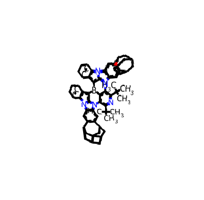 CC(C)(C)c1nc(C(C)(C)C)c2c3c1-n1c4cc5c(cc4n4c6c(c(c14)B3c1c3c(n4c7cc8c(cc7n-2c14)C1CC2CC4CC8CC24C1)C1CCC3CC1)C1CCC6CC1)C1CC2CC(CC5C2)C1